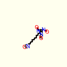 O=C=NCCCCCCCCCCCC(N=C=O)C1(N=C=O)CC(N=C=O)C1